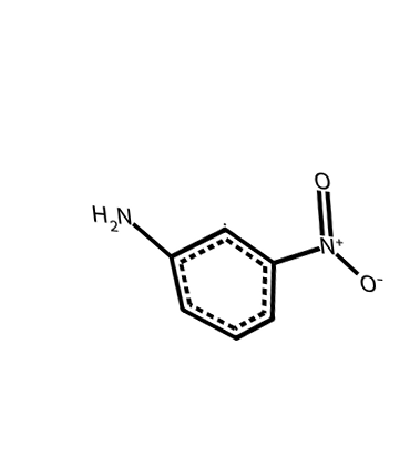 Nc1[c]c([N+](=O)[O-])ccc1